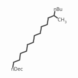 [CH2]CCCCCCCCCCCCCCCCCCCCC(C)CCC[CH2]